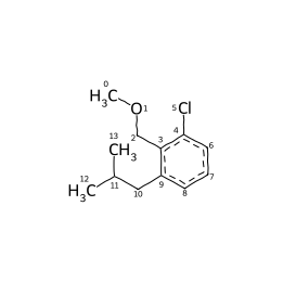 COCc1c(Cl)cccc1CC(C)C